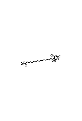 Cc1nc2nc(Cl)nc(Cl)c2n1CCCCCCCCCCCCCCCC(=O)OC(C)(C)C